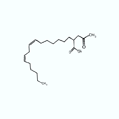 CCCCC/C=C\C/C=C\CCCCCCC(CC(C)=O)C(=O)O